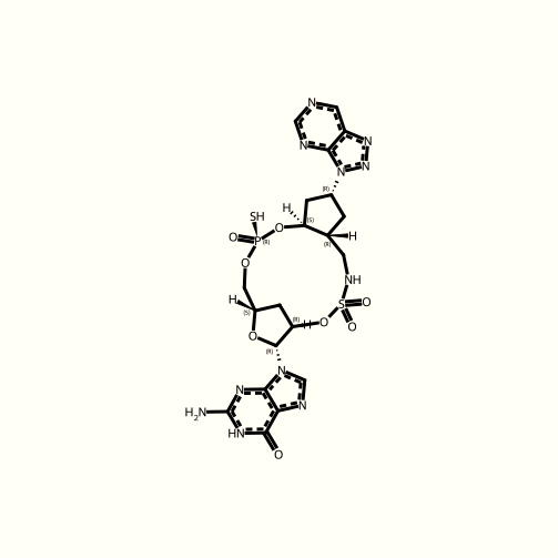 Nc1nc2c(ncn2[C@@H]2O[C@@H]3CO[P@@](=O)(S)O[C@H]4C[C@H](n5nnc6cncnc65)C[C@@H]4CNS(=O)(=O)O[C@@H]2C3)c(=O)[nH]1